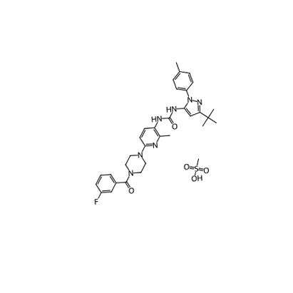 CS(=O)(=O)O.Cc1ccc(-n2nc(C(C)(C)C)cc2NC(=O)Nc2ccc(N3CCN(C(=O)c4cccc(F)c4)CC3)nc2C)cc1